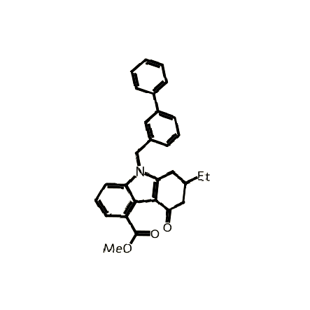 CCC1CC(=O)c2c(n(Cc3cccc(-c4ccccc4)c3)c3cccc(C(=O)OC)c23)C1